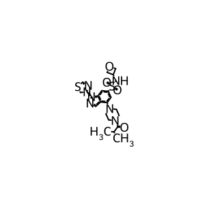 CC(C)C(=O)N1CCN(c2cc(S(=O)(=O)NC3COC3)cc3c2cnn3N2CSC=N2)CC1